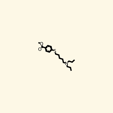 CCCN(CCC)CCCCCSc1ccc(C(=O)OC)cc1